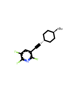 CCCC[C@H]1CC[C@H](C#Cc2cc(F)c(F)nc2F)CC1